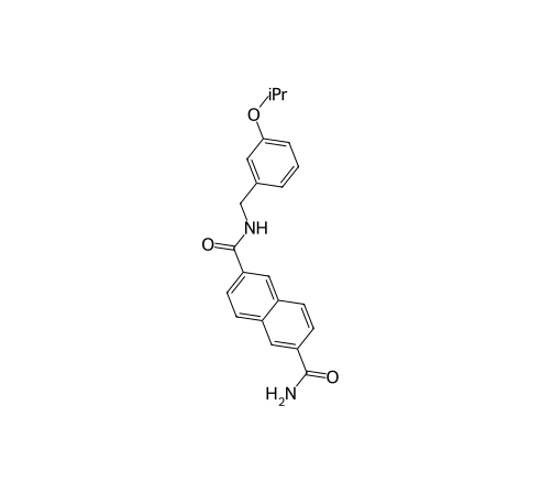 CC(C)Oc1cccc(CNC(=O)c2ccc3cc(C(N)=O)ccc3c2)c1